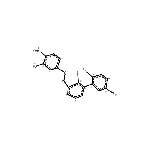 O=Cc1ccc(OCc2cccc(-c3cc(F)ccc3F)c2F)cc1O